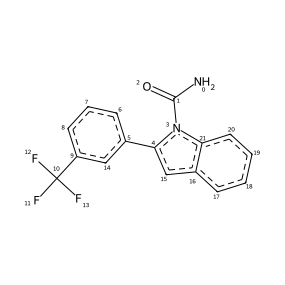 NC(=O)n1c(-c2cccc(C(F)(F)F)c2)cc2ccccc21